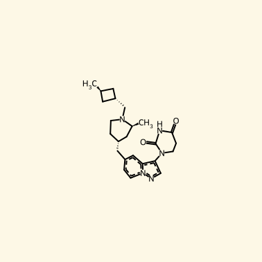 C[C@H]1C[C@H](Cc2ccn3ncc(N4CCC(=O)NC4=O)c3c2)CCN1C[C@H]1C[C@H](C)C1